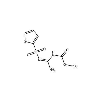 CC(C)(C)OC(=O)NC(N)=NS(=O)(=O)c1cccs1